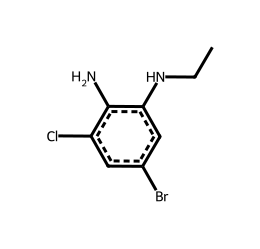 CCNc1cc(Br)cc(Cl)c1N